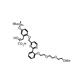 COCCOCCOCCOc1ccccc1-c1nccc(COc2ccc(O[Si](C)(C)C(C)(C)C)cc2C[C@@H](O)C(=O)O)n1